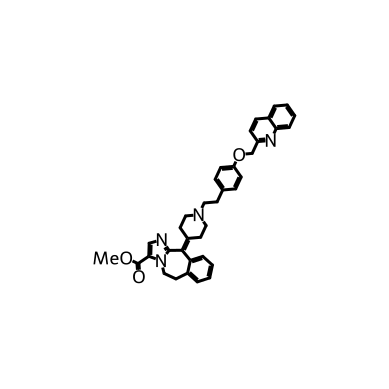 [11CH3]OC(=O)c1cnc2n1CCc1ccccc1C2=C1CCN(CCc2ccc(OCc3ccc4ccccc4n3)cc2)CC1